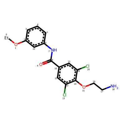 CCOc1cccc(NC(=O)c2cc(Cl)c(OCCN)c(Cl)c2)c1